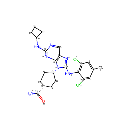 N#Cc1cc(Cl)c(Nc2nc3cnc(NC4CCC4)nc3n2[C@H]2CC[C@@H](C(N)=O)CC2)c(Cl)c1